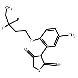 CCC(F)(F)CCOc1ccc(C)cc1N1C(=N)SCC1=O